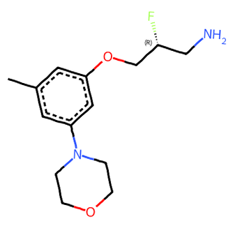 Cc1cc(OC[C@H](F)CN)cc(N2CCOCC2)c1